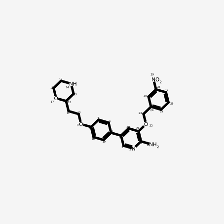 Nc1ncc(-c2ccc(OCCC3CNCCO3)cc2)cc1OCc1cccc([N+](=O)[O-])c1